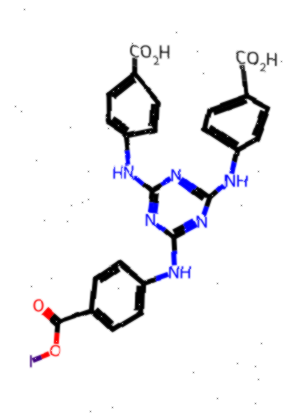 O=C(O)c1ccc(Nc2nc(Nc3ccc(C(=O)O)cc3)nc(Nc3ccc(C(=O)OI)cc3)n2)cc1